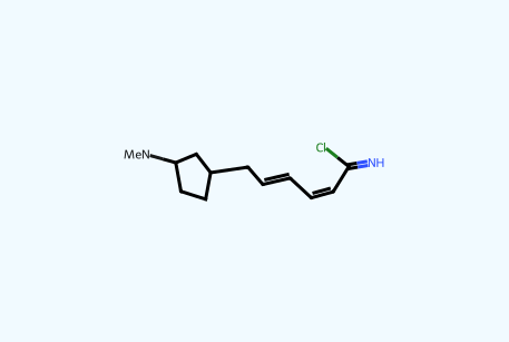 CNC1CCC(C/C=C/C=C\C(=N)Cl)C1